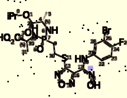 CC(C)OC(=O)[C@H](C)NP(=O)(CCSc1nonc1/C(=N\O)Nc1ccc(F)c(Br)c1)N[C@@H](C)C(=O)O